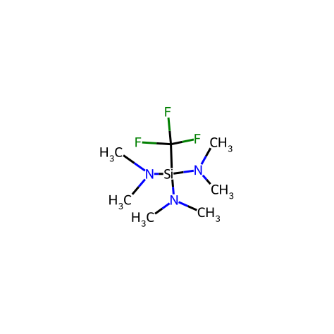 CN(C)[Si](N(C)C)(N(C)C)C(F)(F)F